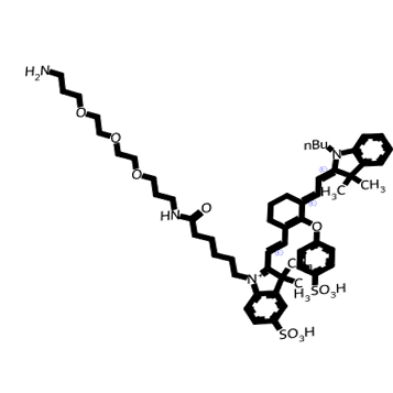 CCCCN1/C(=C/C=C2\CCCC(/C=C/C3=[N+](CCCCCC(=O)NCCCOCCOCCOCCCN)c4ccc(S(=O)(=O)O)cc4C3(C)C)=C2Oc2ccc(S(=O)(=O)O)cc2)C(C)(C)c2ccccc21